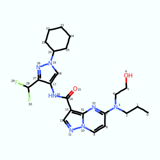 CCCN(CCO)c1ccn2ncc(C(=O)Nc3cn(C4CCCCC4)nc3C(F)F)c2n1